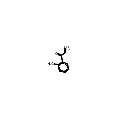 C=CC(=O)c1[c]cccc1C